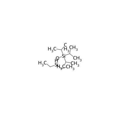 CC[SiH](CC)O[Si](C(C)C)(C(C)C)C(C)C